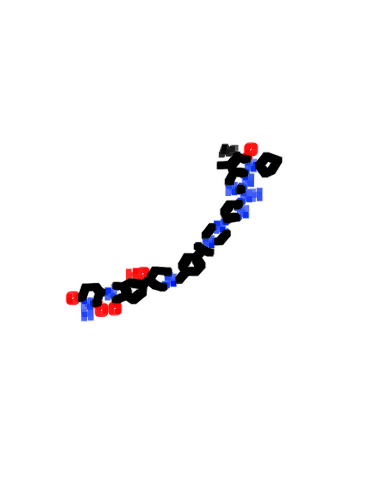 CC(=O)c1c(C)c2cnc(Nc3ccc(N4CCN(C(C)(C)c5ccc(CN6CCC(O)(c7ccc8c(c7)CN(C7CCC(=O)NC7=O)C8=O)CC6)cc5)CC4)cn3)nc2n(C2CCCC2)c1=O